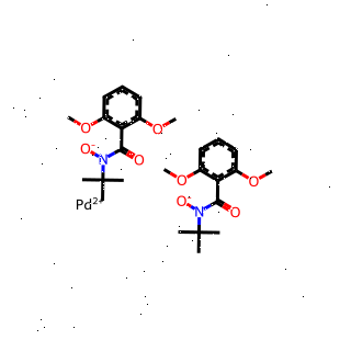 COc1cccc(OC)c1C(=O)N([O-])C(C)(C)C.COc1cccc(OC)c1C(=O)N([O-])C(C)(C)C.[Pd+2]